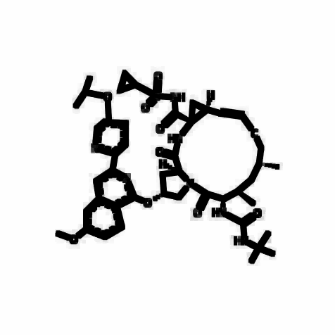 COc1ccc2c(O[C@@H]3C[C@H]4C(=O)N[C@]5(C(=O)NS(=O)(=O)C6CC6)C[C@H]5/C=C\CC[C@H](C)C[C@@H](C)[C@H](NC(=O)NC(C)(C)C)C(=O)N4C3)nc(-c3ccc(OC(C)C)cn3)cc2c1